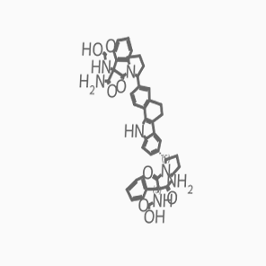 NC(=O)C(NC(=O)O)(C(=O)N1CCCC1c1ccc2c(c1)CCc1c-2[nH]c2ccc([C@@H]3CCCN3C(=O)[C@@](NC(=O)O)(C(N)=O)c3ccccc3)cc12)c1ccccc1